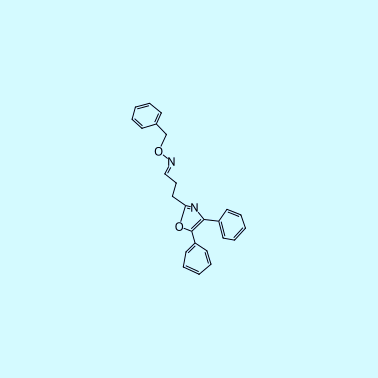 C(CCc1nc(-c2ccccc2)c(-c2ccccc2)o1)=NOCc1ccccc1